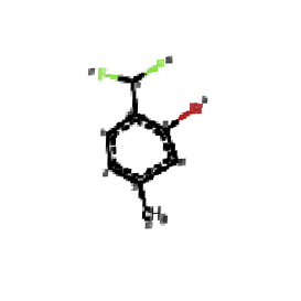 Cc1ccc(C(F)F)c(Br)c1